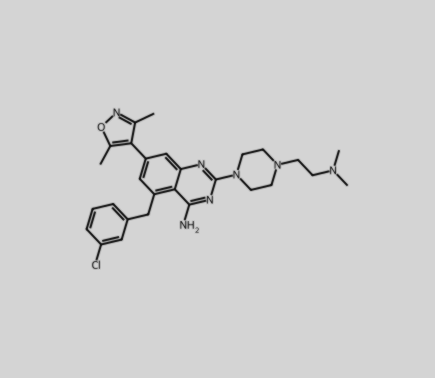 Cc1noc(C)c1-c1cc(Cc2cccc(Cl)c2)c2c(N)nc(N3CCN(CCN(C)C)CC3)nc2c1